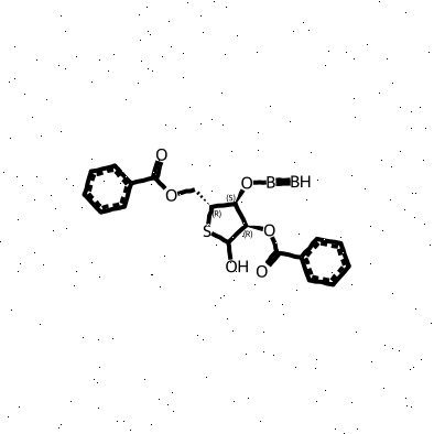 B=BO[C@@H]1[C@@H](COC(=O)c2ccccc2)SC(O)[C@@H]1OC(=O)c1ccccc1